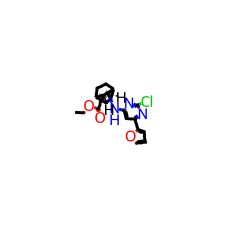 CCOC(=O)[C@@H]1C2CCC(CC2)[C@H]1Nc1cc(-c2ccco2)nc(Cl)n1